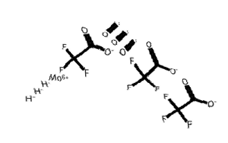 O=C([O-])C(F)(F)F.O=C([O-])C(F)(F)F.O=C([O-])C(F)(F)F.[C]=O.[C]=O.[C]=O.[H-].[H-].[H-].[Mo+6]